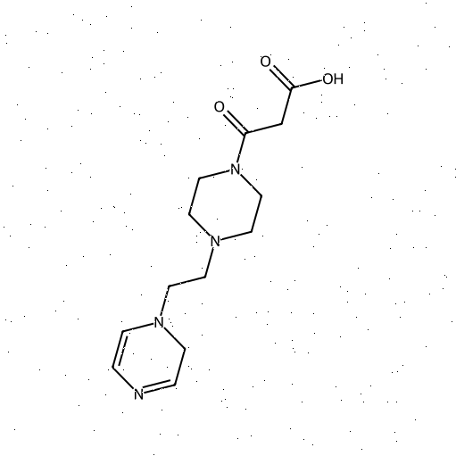 O=C(O)CC(=O)N1CCN(CCN2C=CN=CC2)CC1